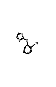 Oc1ccccc1Sc1nccs1